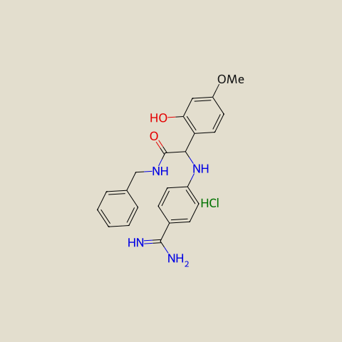 COc1ccc(C(Nc2ccc(C(=N)N)cc2)C(=O)NCc2ccccc2)c(O)c1.Cl